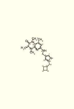 Cc1nc(NCc2cnn(CC3CCC3)c2)nc2c1N(C)C(=O)[C@H](C)N2C